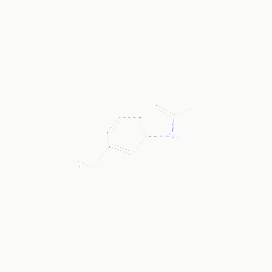 COc1ccc2cc(C)[nH]c2c1